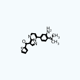 CN(C)c1ccc(-c2ccnc3c(C(=O)c4cccs4)cnn23)cc1N